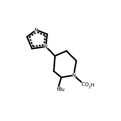 CC(C)(C)C1CC(n2ccnc2)CCN1C(=O)O